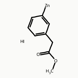 COC(=O)Cc1ccc[c]([Zn])c1.I